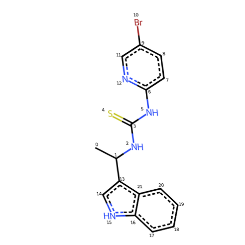 CC(NC(=S)Nc1ccc(Br)cn1)c1c[nH]c2ccccc12